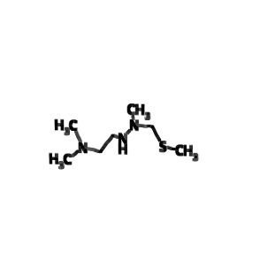 CSCN(C)NCCN(C)C